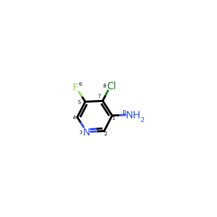 Nc1cncc(F)c1Cl